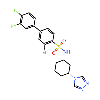 CCc1cc(-c2ccc(F)c(F)c2)ccc1S(=O)(=O)N[C@H]1CCC[C@@H](n2cnnc2)C1